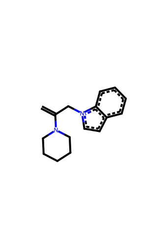 C=C(Cn1ccc2ccccc21)N1CCCCC1